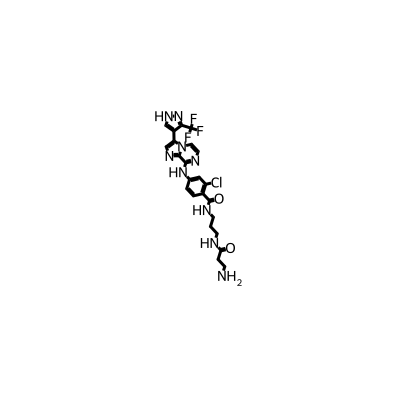 NCCC(=O)NCCCNC(=O)c1ccc(Nc2nccn3c(-c4c[nH]nc4C(F)(F)F)cnc23)cc1Cl